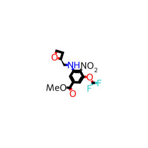 COC(=O)c1cc(NC[C@@H]2CCO2)c([N+](=O)[O-])c(OC(F)F)c1